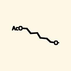 CC(=O)OCCCCCC[O]